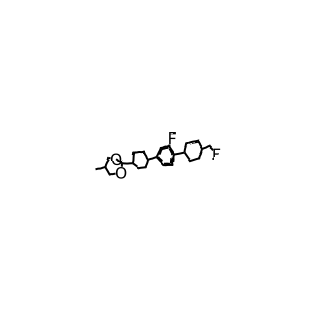 CC1COC(C2CCC(c3ccc(C4CCC(CF)CC4)c(F)c3)CC2)OC1